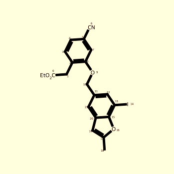 CCOC(=O)Cc1ccc(C#N)cc1OCc1cc(I)c2oc(C)cc2c1